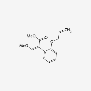 C=CCOc1ccccc1C(=COC)C(=O)OC